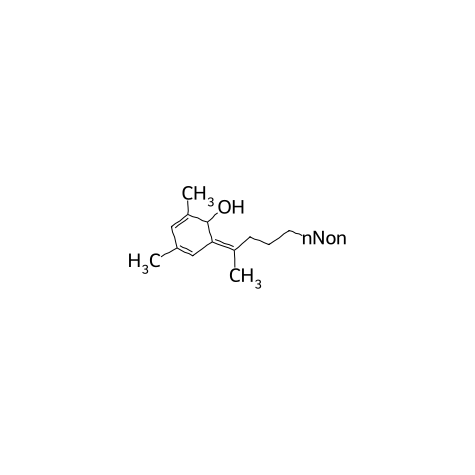 CCCCCCCCCCCCC(C)=C1C=C(C)C=C(C)C1O